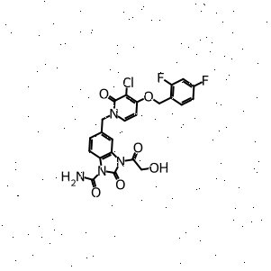 NC(=O)n1c(=O)n(C(=O)CO)c2cc(Cn3ccc(OCc4ccc(F)cc4F)c(Cl)c3=O)ccc21